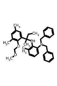 CCC(C)(Pc1c(C)cccc1N(Cc1ccccc1)Cc1ccccc1)c1cc(C)cc(C)c1OCOC